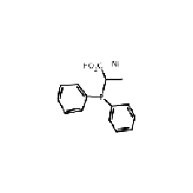 CC(C(=O)O)P(c1ccccc1)c1ccccc1.[Ni]